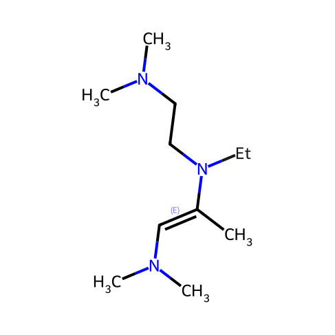 CCN(CCN(C)C)/C(C)=C/N(C)C